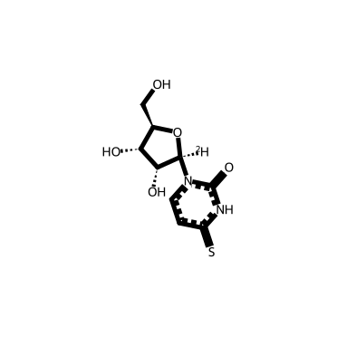 [2H][C@@]1(n2ccc(=S)[nH]c2=O)O[C@H](CO)[C@@H](O)[C@H]1O